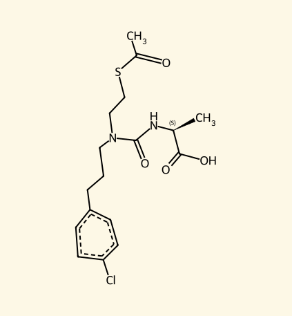 CC(=O)SCCN(CCCc1ccc(Cl)cc1)C(=O)N[C@@H](C)C(=O)O